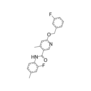 Cc1ccc(NC(=O)c2cnc(OCc3cccc(F)c3)cc2C)c(F)c1